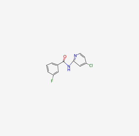 O=C(Nc1cc(Cl)ccn1)c1cccc(F)c1